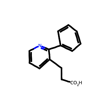 O=C(O)CCc1cccnc1-c1ccccc1